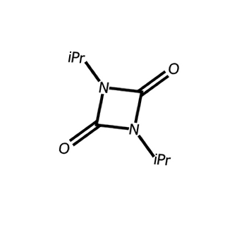 CC(C)N1C(=O)N(C(C)C)C1=O